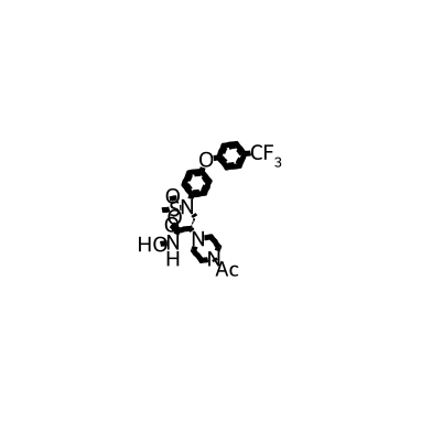 CC(=O)N1CCN([C@@H](CN(c2ccc(Oc3ccc(C(F)(F)F)cc3)cc2)S(C)(=O)=O)C(=O)NO)CC1